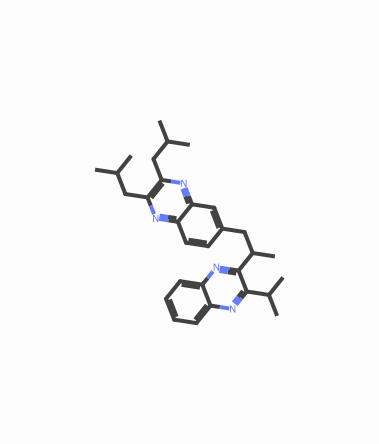 CC(C)Cc1nc2ccc(CC(C)c3nc4ccccc4nc3C(C)C)cc2nc1CC(C)C